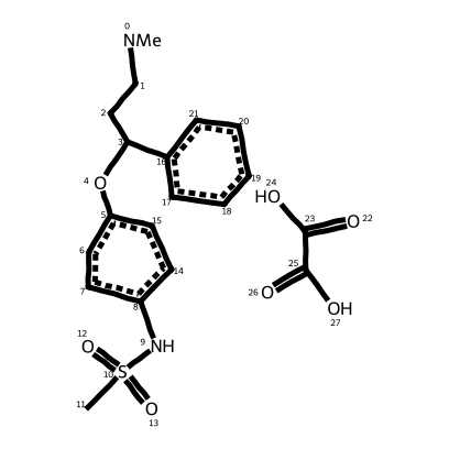 CNCCC(Oc1ccc(NS(C)(=O)=O)cc1)c1ccccc1.O=C(O)C(=O)O